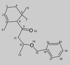 CC1=CCCC(C)(C)C1C(=O)CC(C)OCc1ccccc1